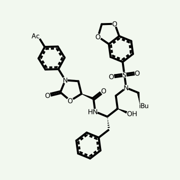 CC[C@H](C)CN(C[C@@H](O)[C@H](Cc1ccccc1)NC(=O)[C@@H]1CN(c2ccc(C(C)=O)cc2)C(=O)O1)S(=O)(=O)c1ccc2c(c1)OCO2